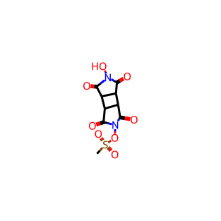 CS(=O)(=O)ON1C(=O)C2C3C(=O)N(O)C(=O)C3C2C1=O